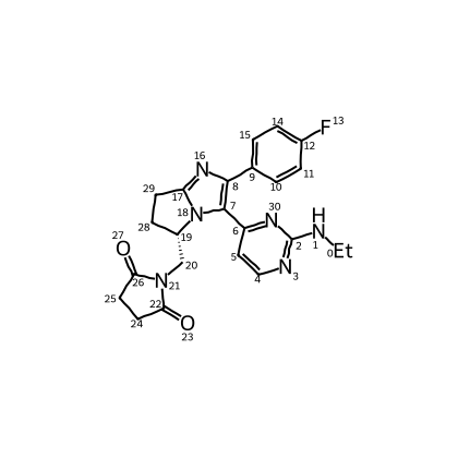 CCNc1nccc(-c2c(-c3ccc(F)cc3)nc3n2[C@H](CN2C(=O)CCC2=O)CC3)n1